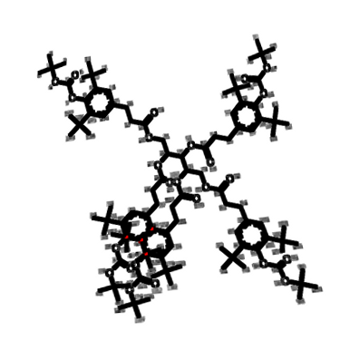 CC(C)(C)OC(=O)Oc1c(C(C)(C)C)cc(CCC(=O)OCC(OC(=O)CCc2cc(C(C)(C)C)c(OC(=O)OC(C)(C)C)c(C(C)(C)C)c2)C(OC(=O)CCc2cc(C(C)(C)C)c(OC(=O)OC(C)(C)C)c(C(C)(C)C)c2)C(COC(=O)CCc2cc(C(C)(C)C)c(OC(=O)OC(C)(C)C)c(C(C)(C)C)c2)OC(=O)CCc2cc(C(C)(C)C)c(OC(=O)OC(C)(C)C)c(C(C)(C)C)c2)cc1C(C)(C)C